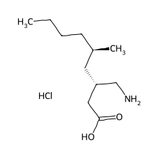 CCCC[C@@H](C)C[C@H](CN)CC(=O)O.Cl